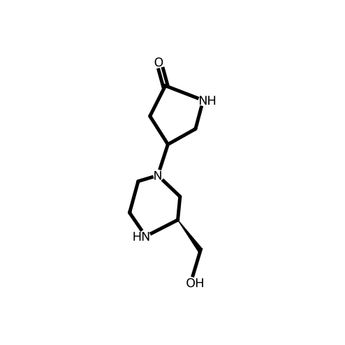 O=C1CC(N2CCN[C@H](CO)C2)CN1